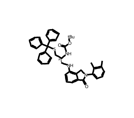 Cc1cccc(N2Cc3c(NC[C@H](CSC(c4ccccc4)(c4ccccc4)c4ccccc4)NC(=O)OC(C)(C)C)cccc3C2=O)c1C